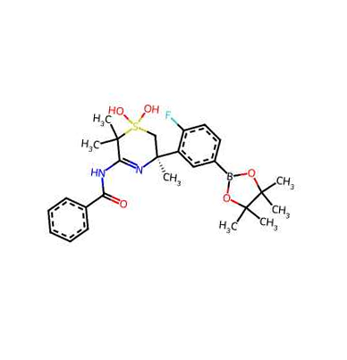 CC1(C)OB(c2ccc(F)c([C@]3(C)CS(O)(O)C(C)(C)C(NC(=O)c4ccccc4)=N3)c2)OC1(C)C